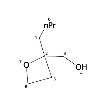 CCCCC1(CO)CCO1